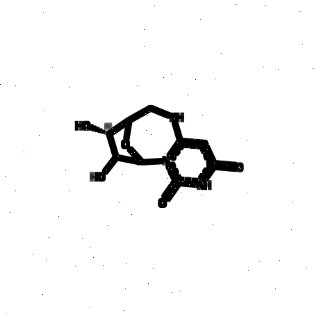 O=c1cc2n(c(=O)[nH]1)C1OC(CN2)[C@@H](O)C1O